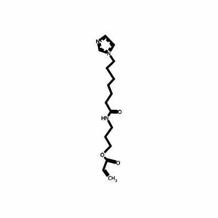 C=CC(=O)OCCCNC(=O)CCCCCCn1ccnc1